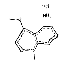 COc1ccc(C)c2ccccc12.Cl.N